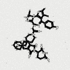 Cc1sc2c(c1C)C(c1ccc(Cl)cc1)=N[C@@H](CC(=O)N1CCC(CN3CC4CC(C3)N4c3ccc4c(c3)C(=O)N(C3CCC(=O)NC3=O)C4=O)CC1)c1nnc(C)n1-2